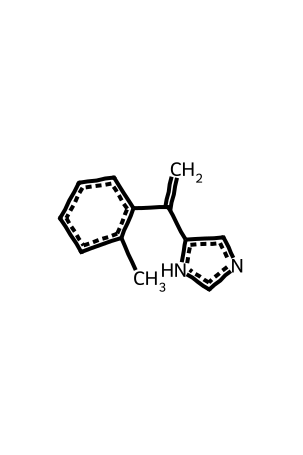 C=C(c1cnc[nH]1)c1ccccc1C